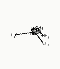 CCCCCCCCCCCCCCCCCCCC(C(=O)N[C@@H](COC1OC(COCCCCCCN)C(O)C(O)C1O)[C@H](O)[C@H](N)CCCCCCCCCCCCCC)c1ccccc1